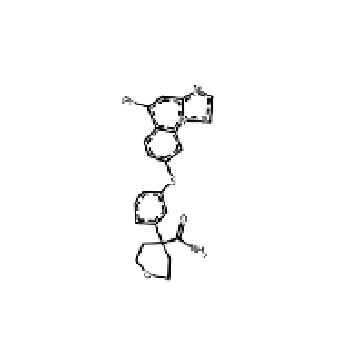 CC(C)c1cc2nccn2c2cc(Sc3cccc(C4(C(N)=O)CCOCC4)c3)ccc12